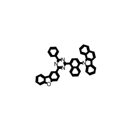 c1ccc(-c2nc(-c3ccc4oc5ccccc5c4c3)nc(-c3ccc(-n4c5ccccc5c5ccc6ccccc6c54)c4ccccc34)n2)cc1